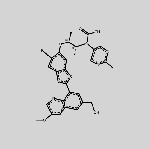 COc1cnc2c(-c3nc4cc(F)c(O[C@@H](C)[C@@H](C)N(C(=O)O)c5cnc(C)nc5)cc4s3)cc(CO)cc2c1